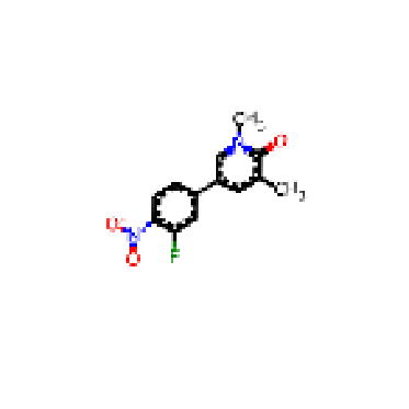 Cc1cc(-c2ccc([N+](=O)[O-])c(F)c2)cn(C)c1=O